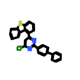 Clc1cc(-c2cccc3sc4ccccc4c23)nc(-c2ccc(-c3ccccc3)cc2)n1